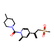 C=C(CS(C)(=O)=O)C1=CC(=C)N(C(=O)N2CCC(C)CC2)C=C1